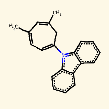 CC1=CC=C(n2c3ccccc3c3ccccc32)CC(C)=C1